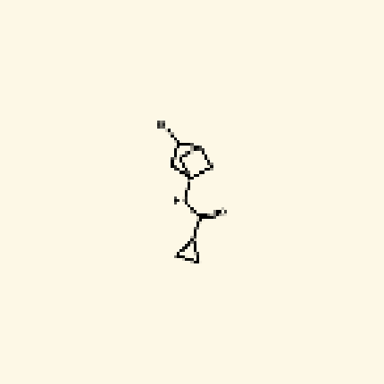 CCC1CC2(NC(=O)C3CC3)CC1C2